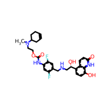 CN(CCOC(=O)Nc1cc(F)c(CNC[C@H](O)c2ccc(O)c3[nH]c(=O)ccc23)cc1F)C1CC#CCC1